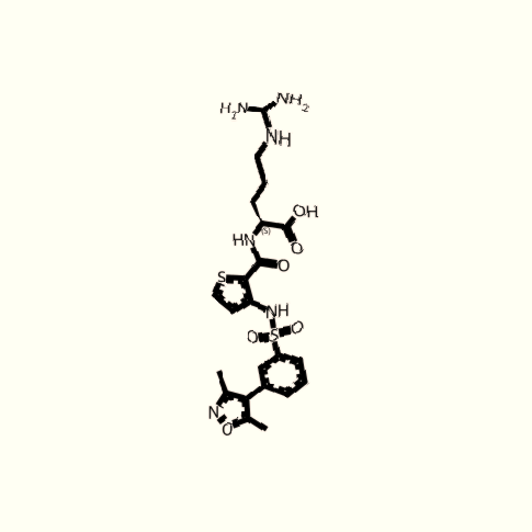 Cc1noc(C)c1-c1cccc(S(=O)(=O)Nc2ccsc2C(=O)N[C@@H](CCCNC(N)N)C(=O)O)c1